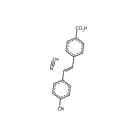 C#N.N#Cc1ccc(C=Cc2ccc(C(=O)O)cc2)cc1